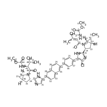 COC(=O)N[C@H](C(=O)N1[C@@H]2[C@H](C)[C@@H]2C[C@H]1c1nc(Cl)c(-c2ccc(-c3ccc4cc(-c5cnc([C@@H]6C[C@H]7C[C@H]7N6C(=O)[C@@H](NC(=O)OC)C(C)C)[nH]5)ccc4c3)cc2)[nH]1)C(C)C